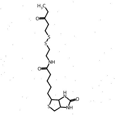 CCC(=O)CCSSCCNC(=O)CCCCC1SCC2NC(=O)NC21